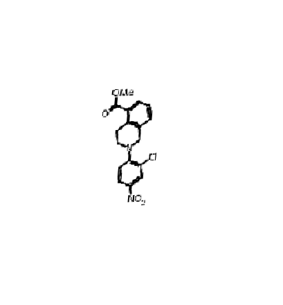 COC(=O)c1cccc2c1CCN(c1ccc([N+](=O)[O-])cc1Cl)C2